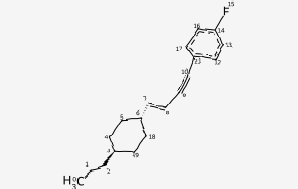 CCC[C@H]1CC[C@H](C=CC#Cc2ccc(F)cc2)CC1